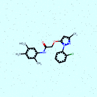 Cc1cc(C)c(S(=O)(=O)O)cc1NC(=O)COc1cc(C(F)(F)F)nn1-c1ccccc1Cl